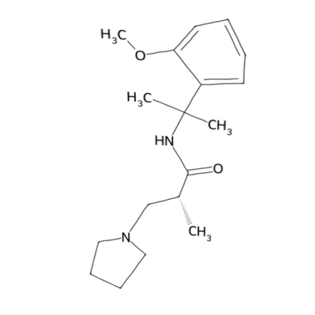 COc1ccccc1C(C)(C)NC(=O)[C@H](C)CN1CCCC1